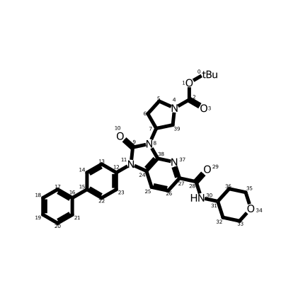 CC(C)(C)OC(=O)N1CCC(n2c(=O)n(-c3ccc(-c4ccccc4)cc3)c3ccc(C(=O)NC4CCOCC4)nc32)C1